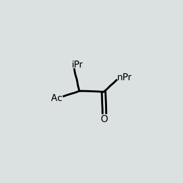 CCCC(=O)C(C(C)=O)C(C)C